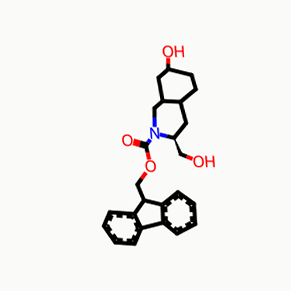 O=C(OCC1c2ccccc2-c2ccccc21)N1CC2CC(O)CCC2C[C@H]1CO